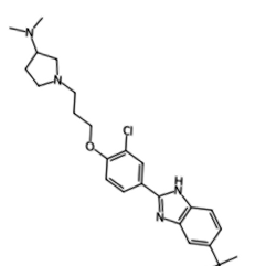 CN(C)C1CCN(CCCOc2ccc(-c3nc4cc(C(C)(C)C)ccc4[nH]3)cc2Cl)C1